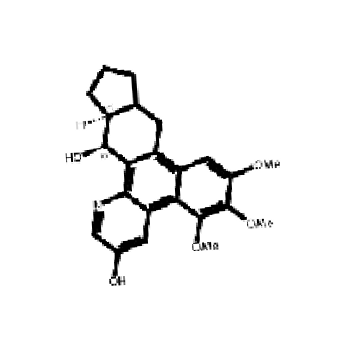 COc1cc2c3c(c4ncc(O)cc4c2c(OC)c1OC)[C@@H](O)[C@H]1CCCC1C3